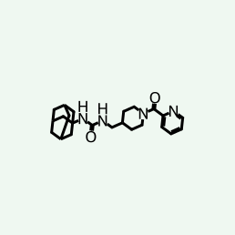 O=C(NCC1CCN(C(=O)c2ccccn2)CC1)NC12CC3CC(CC(C3)C1)C2